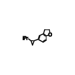 CC(C)C1CC1c1ccc2c(c1)CCO2